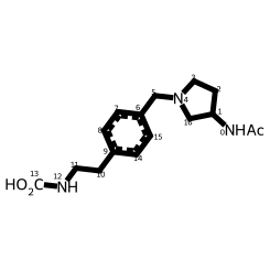 CC(=O)NC1CCN(Cc2ccc(CCNC(=O)O)cc2)C1